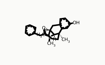 CC1CC[C@]2(C)c3cc(O)ccc3C[C@@H]1[C@@H]2N(C)C(=O)Cc1ccccc1